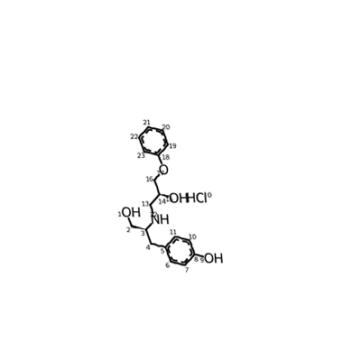 Cl.OC[C@H](Cc1ccc(O)cc1)NC[C@H](O)COc1ccccc1